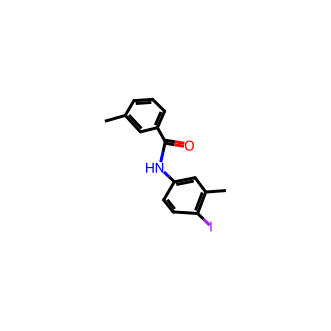 Cc1cccc(C(=O)Nc2ccc(I)c(C)c2)c1